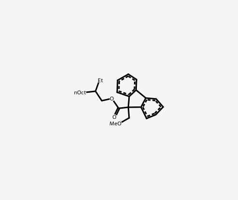 CCCCCCCCC(CC)COC(=O)C1(COC)c2ccccc2-c2ccccc21